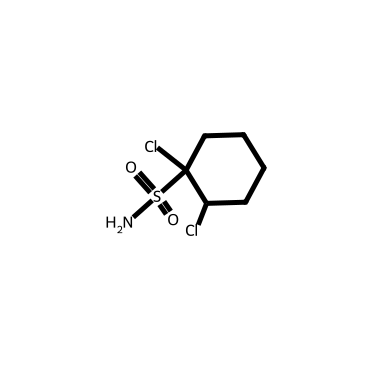 NS(=O)(=O)C1(Cl)CCCCC1Cl